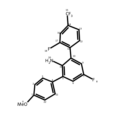 COc1ccc(-c2cc(F)cc(-c3ccc(C(F)(F)F)cc3F)c2N)cc1